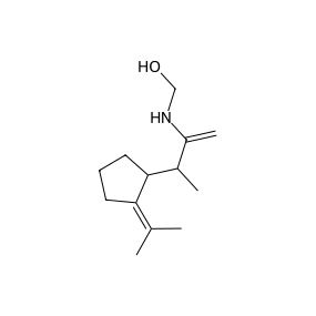 C=C(NCO)C(C)C1CCCC1=C(C)C